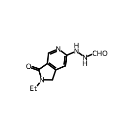 CCN1Cc2cc(NNC=O)ncc2C1=O